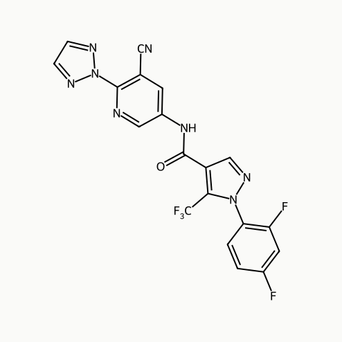 N#Cc1cc(NC(=O)c2cnn(-c3ccc(F)cc3F)c2C(F)(F)F)cnc1-n1nccn1